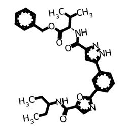 CCC(CC)NC(=O)c1cnc(-c2cccc(-c3cc(C(=O)N[C@H](C(=O)OCc4ccccc4)C(C)C)n[nH]3)c2)o1